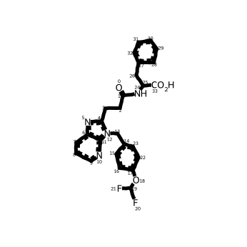 O=C(CCc1nc2cccnc2n1Cc1ccc(OC(F)F)cc1)NC(Cc1ccccc1)C(=O)O